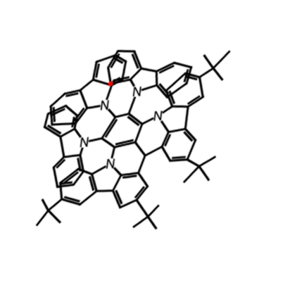 CC(C)(C)c1ccc2c(c1)c1cc(C(C)(C)C)cc3c1n2-c1c2c(c(-n4c5ccccc5c5ccccc54)c(-n4c5ccccc5c5ccccc54)c1-n1c4ccccc4c4ccccc41)-n1c4ccc(C(C)(C)C)cc4c4cc(C(C)(C)C)cc(c41)C23